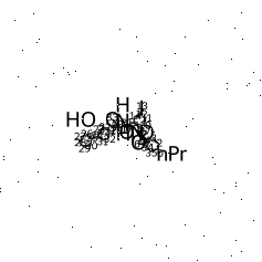 CCCc1ccc(S(=O)(=O)Nc2ccc(I)cc2C(=O)N[C@@H](Cc2ccc(-c3ccccc3)cc2)C(=O)O)cc1